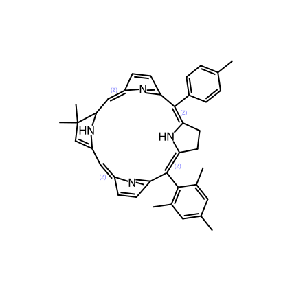 Cc1ccc(/C2=C3\CC/C(=C(\c4c(C)cc(C)cc4C)C4=N/C(=C\C5=CC(C)(C)C(/C=C6/C=CC2=N6)N5)C=C4)N3)cc1